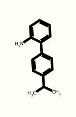 CC(C)c1ccc(-c2ccccc2N)cc1